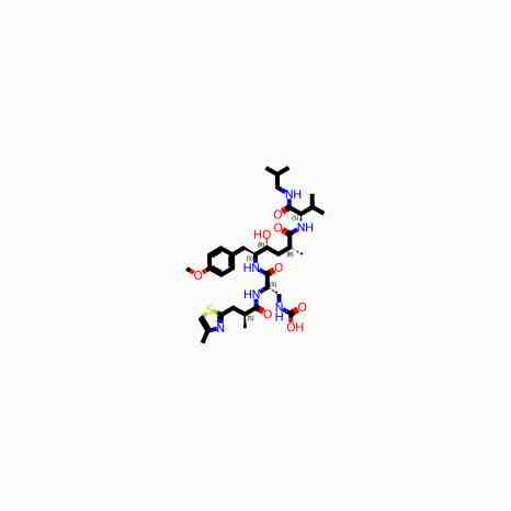 COc1ccc(C[C@H](NC(=O)[C@H](CNC(=O)O)NC(=O)[C@@H](C)Cc2nc(C)cs2)[C@H](O)C[C@@H](C)C(=O)N[C@H](C(=O)NCC(C)C)C(C)C)cc1